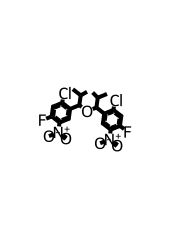 CC(C)C(OC(c1cc([N+](=O)[O-])c(F)cc1Cl)C(C)C)c1cc([N+](=O)[O-])c(F)cc1Cl